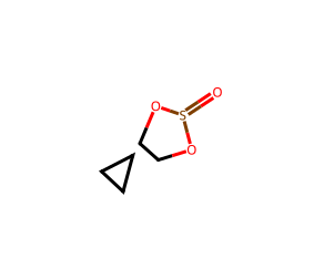 C1CC1.O=S1OCCO1